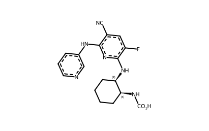 N#Cc1cc(F)c(N[C@@H]2CCCC[C@@H]2NC(=O)O)nc1Nc1cccnc1